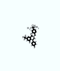 CC(C)(C)c1ccc(CN(CCc2ccc(F)cc2)C(=O)c2cc(F)cc(C(F)(F)F)c2)cc1